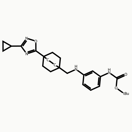 CC(C)(C)OC(=O)Nc1cccc(NCC23CCC(c4nc(C5CC5)no4)(CC2)CC3)c1